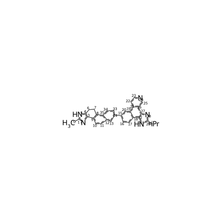 Cc1nc2c([nH]1)CCc1c-2ccc2cc(-c3ccc4c(c3)c3ccncc3c3nc(C(C)C)[nH]c43)ccc12